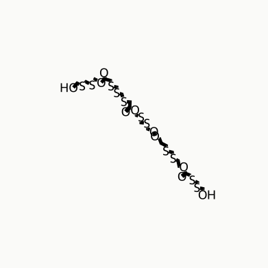 O=C(CSCSCO)OCCSCSCCCOOCSCSCOC(=O)CSCSCSCC(=O)OCSCSCO